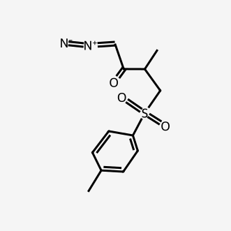 Cc1ccc(S(=O)(=O)CC(C)C(=O)C=[N+]=[N-])cc1